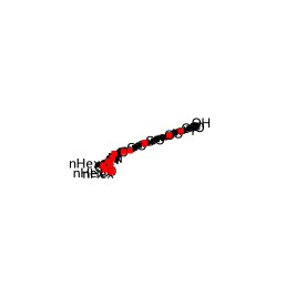 CCCCCCOc1cc(Cn2cc(COCCOCCOCCOCCOCCOCCOCCOCCP(=O)(O)F)nn2)cc(OCCCCCC)c1OCCCCCC